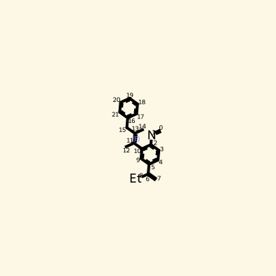 C=Nc1ccc(C(=C)CC)cc1/C(C)=C(\C)Cc1ccccc1